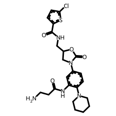 NCCC(=O)Nc1cc(N2CC(CNC(=O)c3ccc(Cl)s3)OC2=O)ccc1N1CCCCC1